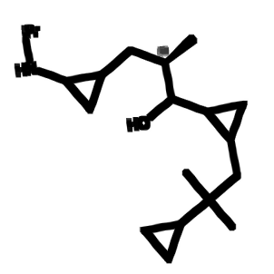 CC(C)NC1CC1C[C@@H](C)C(O)C1CC1CC(C)(C)C1CC1